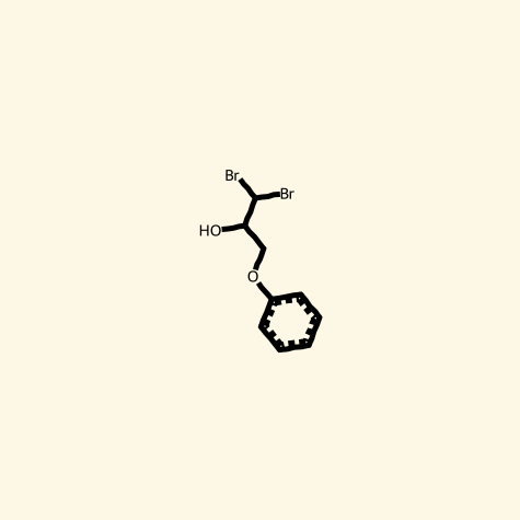 OC(COc1ccccc1)C(Br)Br